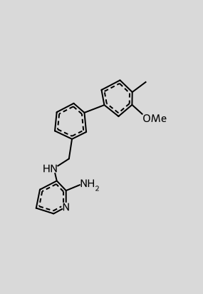 COc1cc(-c2cccc(CNc3cccnc3N)c2)ccc1C